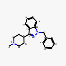 CN1CCC(c2nn(Cc3ccccc3)c3ccccc23)CC1